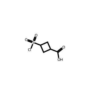 O=C(O)C1CC(S(=O)(=O)Cl)C1